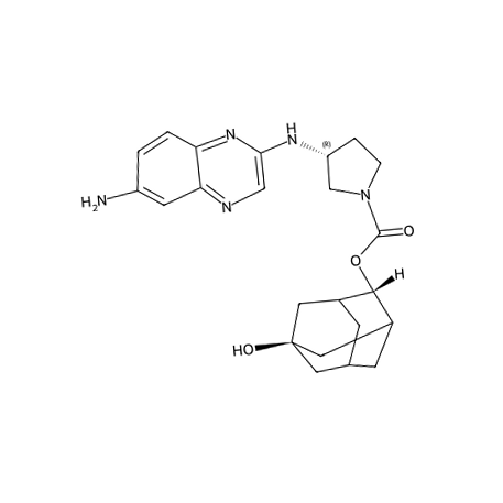 Nc1ccc2nc(N[C@@H]3CCN(C(=O)O[C@H]4C5CC6CC4C[C@](O)(C6)C5)C3)cnc2c1